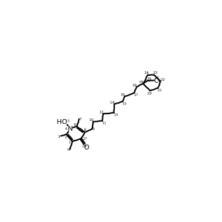 Cc1c(C)n(O)c(C)c(CCCCCCCCCCC23CCC(CC2)CC3)c1=O